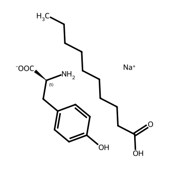 CCCCCCCCCC(=O)O.N[C@@H](Cc1ccc(O)cc1)C(=O)[O-].[Na+]